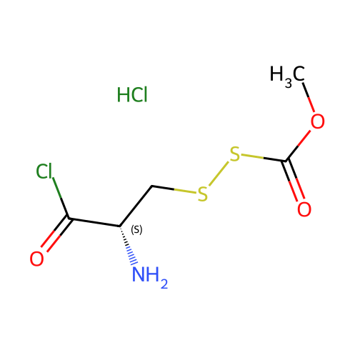 COC(=O)SSC[C@H](N)C(=O)Cl.Cl